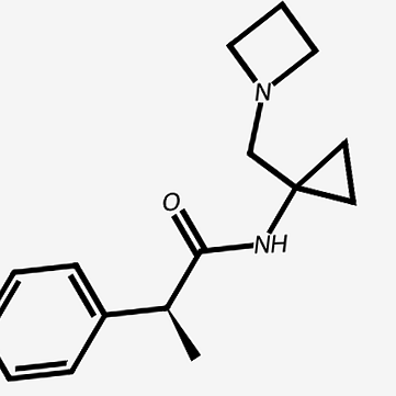 C[C@H](C(=O)NC1(CN2CCC2)CC1)c1ccccc1